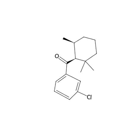 C[C@H]1CCCC(C)(C)[C@H]1C(=O)c1cccc(Cl)c1